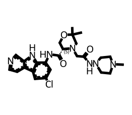 CN1CCN(NC(=O)CN2CC(C)(C)OC[C@H]2C(=O)Nc2cc(Cl)cc3c2[nH]c2cnccc23)CC1